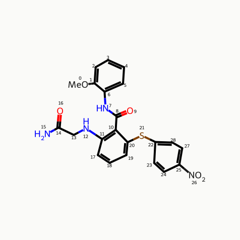 COc1ccccc1NC(=O)c1c(NCC(N)=O)cccc1Sc1ccc([N+](=O)[O-])cc1